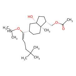 CC(=O)OC[C@H]1CC[C@]2(O)C[C@@H](/C(=C\CCC(C)(C)C)O[SiH](C)C)CC[C@]12C